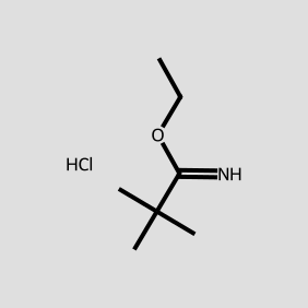 CCOC(=N)C(C)(C)C.Cl